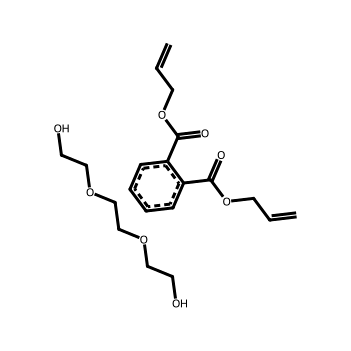 C=CCOC(=O)c1ccccc1C(=O)OCC=C.OCCOCCOCCO